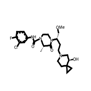 COC[C@H](CCN1CCC2(CC2)[C@H](O)C1)N1CCN(C(=O)Nc2ccc(F)c(Cl)c2)[C@@H](C)C1=O